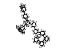 c1cc(-c2cccc(-c3cccc4c3oc3ccccc3c3ccccc3c3ccccc43)c2)cc(-c2nc(-c3ccc(C45CC6CC(CC(C6)C4)C5)cc3)nc(C34CC5C[C@H](C3)C[C@@H](C5)C4)n2)c1